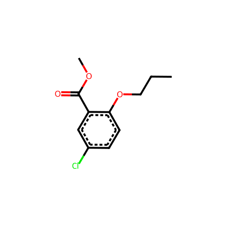 CCCOc1ccc(Cl)cc1C(=O)OC